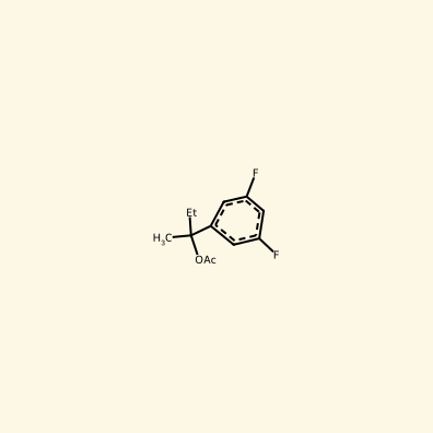 CCC(C)(OC(C)=O)c1cc(F)cc(F)c1